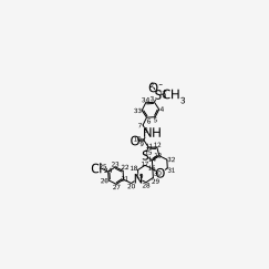 C[S+]([O-])c1ccc(CNC(=O)c2cc3c(s2)C2(CCN(Cc4ccc(Cl)cc4)CC2)OCC3)cc1